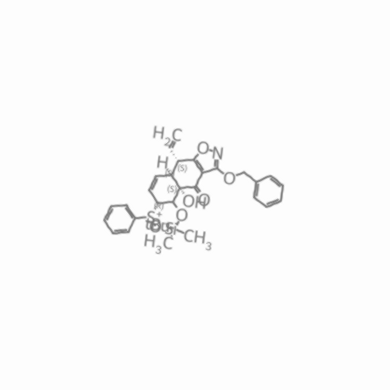 C=C[C@@H]1c2onc(OCc3ccccc3)c2C(=O)[C@@]2(O)C(O[Si](C)(C)C(C)(C)C)[C@H]([S+]([O-])c3ccccc3)C=C[C@@H]12